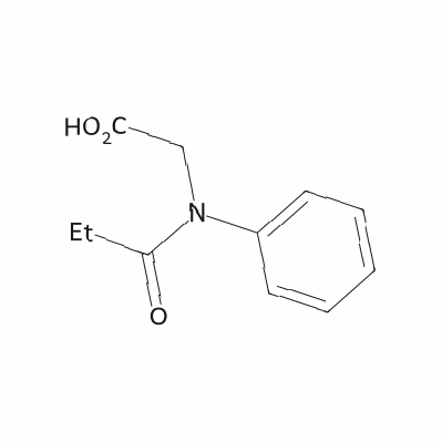 CCC(=O)N(CC(=O)O)c1ccccc1